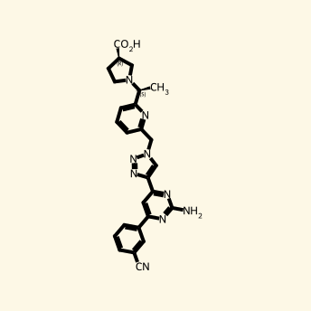 C[C@@H](c1cccc(Cn2cc(-c3cc(-c4cccc(C#N)c4)nc(N)n3)nn2)n1)N1CC[C@@H](C(=O)O)C1